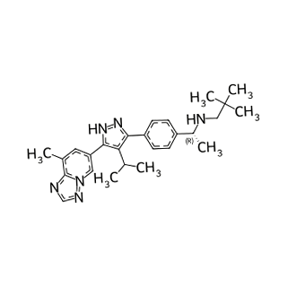 Cc1cc(-c2[nH]nc(-c3ccc([C@@H](C)NCC(C)(C)C)cc3)c2C(C)C)cn2ncnc12